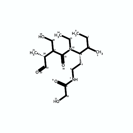 CCC(C)[C@H](CCNC(=O)CO)N(CC)C(=O)C(CO)[C@@H](C)C=O